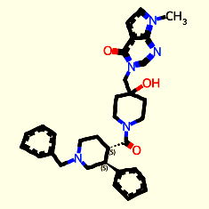 Cn1ccc2c(=O)n(CC3(O)CCN(C(=O)[C@H]4CCN(Cc5ccccc5)C[C@@H]4c4ccccc4)CC3)cnc21